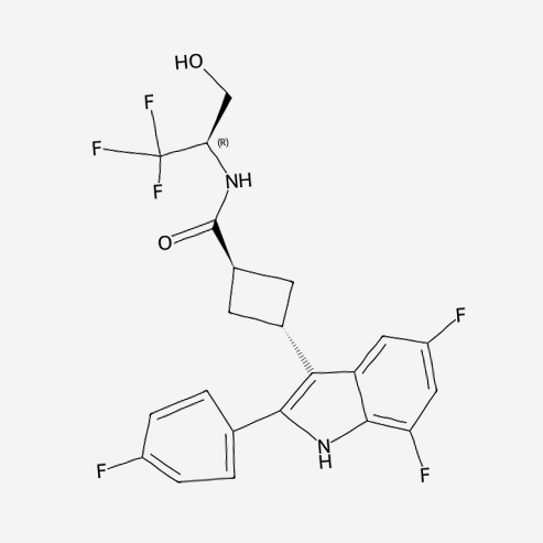 O=C(N[C@H](CO)C(F)(F)F)[C@H]1C[C@H](c2c(-c3ccc(F)cc3)[nH]c3c(F)cc(F)cc32)C1